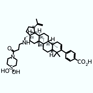 C=C(C)[C@@H]1CC[C@]2(CNCCC(=O)N3CCS(O)(O)CC3)CC[C@]3(C)[C@H](CC[C@@H]4[C@@]5(C)CC=C(c6ccc(C(=O)O)cc6)C(C)(C)[C@@H]5CC[C@]43C)[C@@H]12